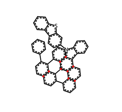 c1ccc(-c2ccccc2-c2ccccc2N(c2ccccc2)c2ccccc2-c2ccccc2-c2ccc3c(c2)c2ccccc2n3-c2ccc3c(c2)sc2ccccc23)cc1